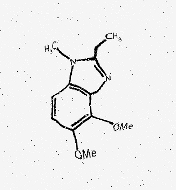 COc1ccc2c(nc(C)n2C)c1OC